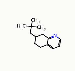 CC(C)(C)CC1CCc2cccnc2C1